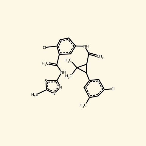 Bc1nnc(NC(=C)c2cc(NC(=C)C3C(c4cc(C)cc(Cl)c4)C3(C)C)ccc2Cl)s1